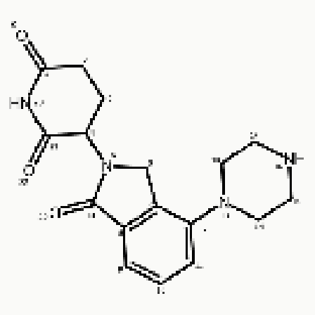 O=C1CCC(N2Cc3c(cccc3N3CCNCC3)C2=O)C(=O)N1